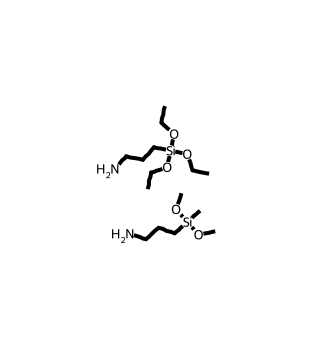 CCO[Si](CCCN)(OCC)OCC.CO[Si](C)(CCCN)OC